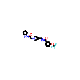 O=C(CN1CC2C(CNC(=O)c3cccc(OC(F)(F)F)c3)C2C1)NC1CCCC1